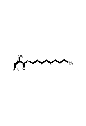 CC=C(C)C(=O)OCCCCCCCCN